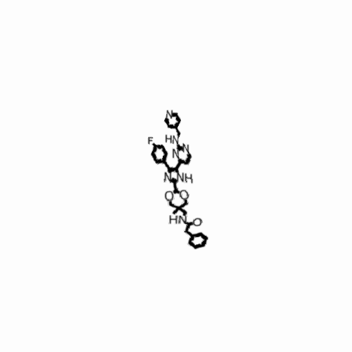 CC1(CNC(=O)Cc2ccccc2)COC(c2nc(-c3ccc(F)cc3)c(-c3ccnc(NCc4ccncc4)n3)[nH]2)OC1